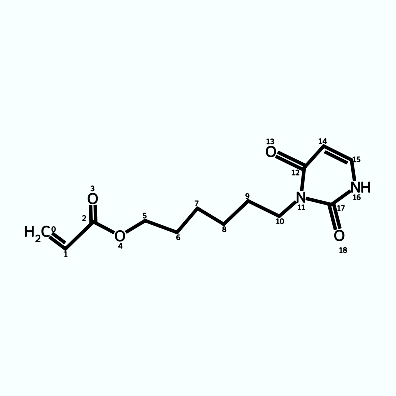 C=CC(=O)OCCCCCCn1c(=O)cc[nH]c1=O